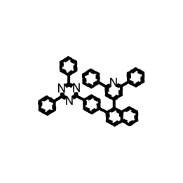 c1ccc(-c2cc(-c3c(-c4ccc(-c5nc(-c6ccccc6)nc(-c6ccccc6)n5)cc4)ccc4ccccc34)cc(-c3ccccc3)n2)cc1